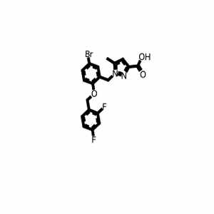 Cc1cc(C(=O)O)nn1Cc1cc(Br)ccc1OCc1ccc(F)cc1F